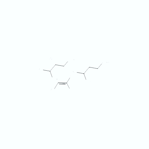 CC(=O)/C=C(/C)[O-].CCCCCCCCCCCCC(C(C)=O)C(=O)[O-].CCCCCCCCCCCCC(C(C)=O)C(=O)[O-].[Al+3]